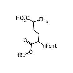 CCCCCC(CCC(C)C(=O)O)C(=O)OC(C)(C)C